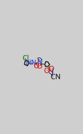 N#CC1CN(S(=O)(=O)c2cccc(C(=O)N3CCC[C@@H]3C(=O)NCc3cccc(Cl)c3)c2)C1